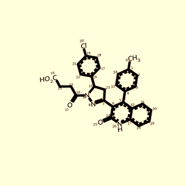 Cc1ccc(-c2c(C3=NN(C(=O)CCC(=O)O)C(c4ccc(Cl)cc4)C3)c(=O)[nH]c3ccccc23)cc1